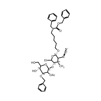 CCC1O[C@H](OCCCCCN(Cc2ccccc2)C(=O)OCc2ccccc2)C(N=[N+]=[N-])[C@@H](C)[C@@H]1O[C@@H]1OC(CO)[C@@H](O)[C@@H](OCc2ccccc2)C1OC(C)=O